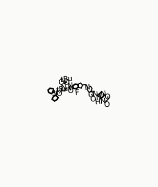 CC(C)(C)OC(=O)N1C[C@H](O[Si](c2ccccc2)(c2ccccc2)C(C)(C)C)C[C@H]1c1nc2cc3c(c(F)c2o1)CC(CN1CCC2(CC1)CN(c1cnc4c(n1)NC(=O)CO4)C(=O)O2)C3